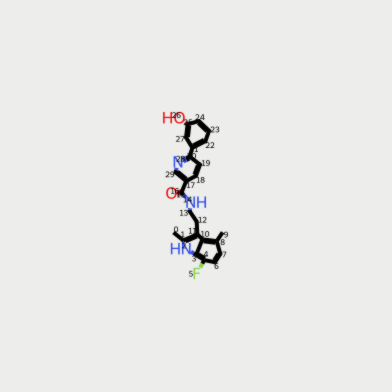 Cc1[nH]c2c(F)ccc(C)c2c1CCNC(=O)c1ccc(-c2cccc(O)c2)nc1